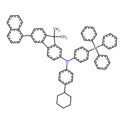 CC1(C)c2ccc(-c3cccc4ccccc34)cc2-c2ccc(N(c3ccc(C4CCCCC4)cc3)c3ccc([Si](c4ccccc4)(c4ccccc4)c4ccccc4)cc3)cc21